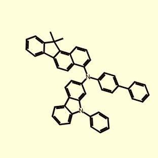 CC1(C)c2ccccc2-c2ccc3c(N(c4ccc(-c5ccccc5)cc4)c4ccc5c6ccccc6n(-c6ccccc6)c5c4)cccc3c21